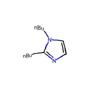 [CH2]CCCc1nccn1CCCC